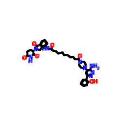 Nc1nnc(-c2ccccc2O)cc1N1CCN(C(=O)CCCCCCCCCC(=O)Nc2cccc3c2CN(C2CCC(=O)NC2=O)C3=O)CC1